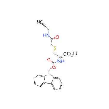 C#CCNC(=O)CSC[C@@H](NC(=O)OCC1c2ccccc2-c2ccccc21)C(=O)O